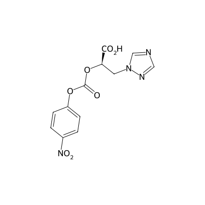 O=C(Oc1ccc([N+](=O)[O-])cc1)O[C@H](Cn1cncn1)C(=O)O